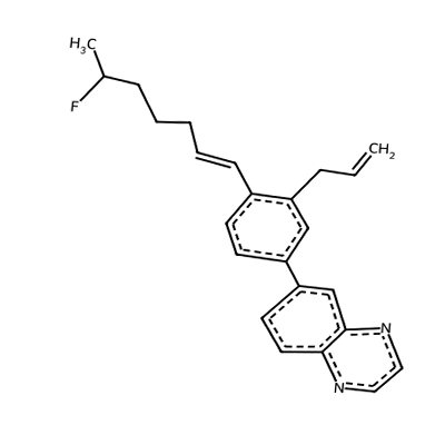 C=CCc1cc(-c2ccc3nccnc3c2)ccc1C=CCCCC(C)F